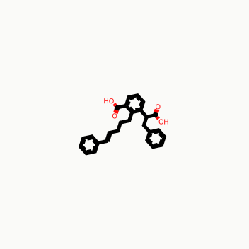 O=C(O)c1cccc(C(Cc2ccccc2)C(=O)O)c1CCCC=Cc1ccccc1